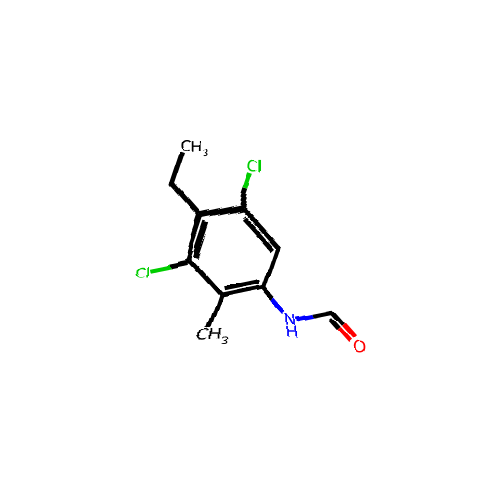 CCc1c(Cl)cc(NC=O)c(C)c1Cl